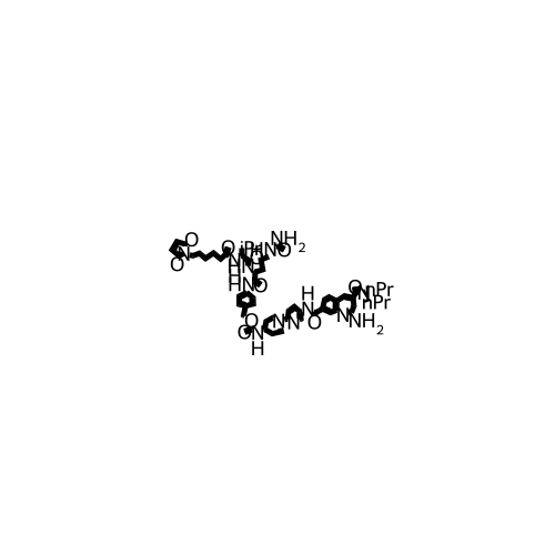 CCCN(CCC)C(=O)C1=Cc2ccc(C(=O)Nc3ccc(N4CCC(NC(=O)OCc5ccc(NC(=O)C(CCCNC(N)=O)NC(=O)C(NC(=O)CCCCCN6C(=O)C=CC6=O)C(C)C)cc5)CC4)nc3)cc2N=C(N)C1